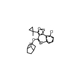 CC1(c2onc(-c3c(Cl)cccc3Cl)c2C(=O)OC2CC3CCC(C2)N3)CC1